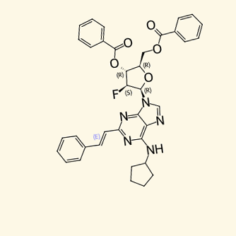 O=C(OC[C@H]1O[C@@H](n2cnc3c(NC4CCCC4)nc(/C=C/c4ccccc4)nc32)[C@@H](F)[C@@H]1OC(=O)c1ccccc1)c1ccccc1